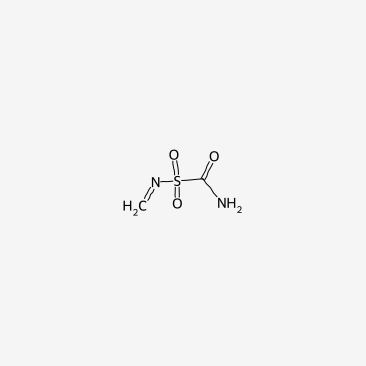 C=NS(=O)(=O)C(N)=O